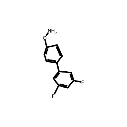 NOc1ccc(-c2cc(F)cc(F)c2)cc1